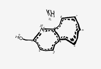 Oc1ccc2ccccc2n1.[KH]